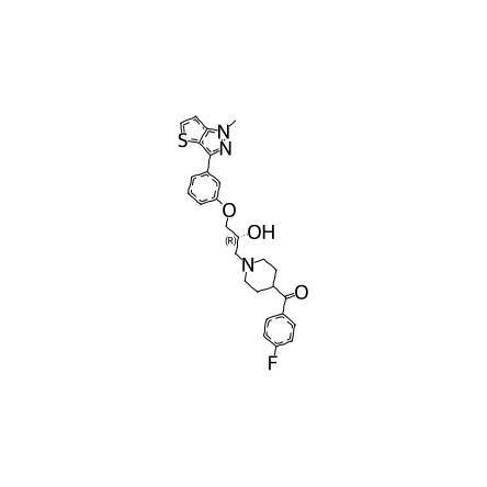 Cn1nc(-c2cccc(OC[C@H](O)CN3CCC(C(=O)c4ccc(F)cc4)CC3)c2)c2sccc21